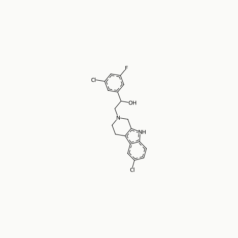 OC(CN1CCc2c([nH]c3ccc(Cl)cc23)C1)c1cc(F)cc(Cl)c1